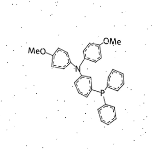 COc1ccc(N(c2ccc(OC)cc2)c2cccc(P(c3ccccc3)c3ccccc3)c2)cc1